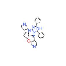 C1=CCC(C2N=C(n3c4cnccc4c4ccc5c(c43)C=Cc3ccncc3O5)NC(c3ccccc3)N2)C=C1